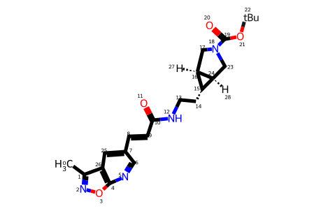 Cc1noc2ncc(/C=C/C(=O)NCC[C@@H]3[C@H]4CN(C(=O)OC(C)(C)C)C[C@@H]34)cc12